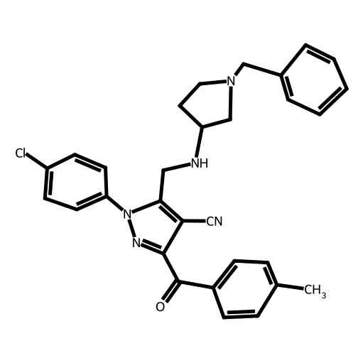 Cc1ccc(C(=O)c2nn(-c3ccc(Cl)cc3)c(CNC3CCN(Cc4ccccc4)C3)c2C#N)cc1